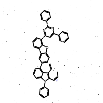 C=Cc1c(/C=C\C)n(-c2ccccc2)c2cccc(-c3ccc4oc5c(-c6cc(-c7ccccc7)nc(-c7ccccc7)n6)cccc5c4c3)c12